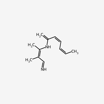 C=C(/C=C\C=C/C)N/C(C)=C(/C)C=N